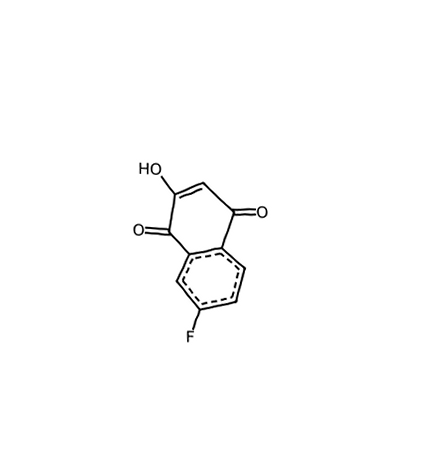 O=C1C=C(O)C(=O)c2cc(F)ccc21